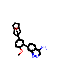 COc1ccc(B2OC34CCCC3(CCC4)O2)cc1-c1ccc2c(N)cnnc2c1